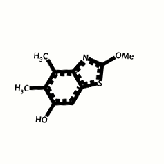 COc1nc2c(C)c(C)c(O)cc2s1